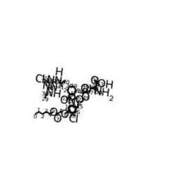 CCCCCOC(=O)COc1cc(N2C(=O)C3=C(CCCC3)C2=O)c(F)cc1Cl.CCNc1nc(Cl)nc(NC(C)C)n1.CP(=O)(O)CCC(N)C(=O)O